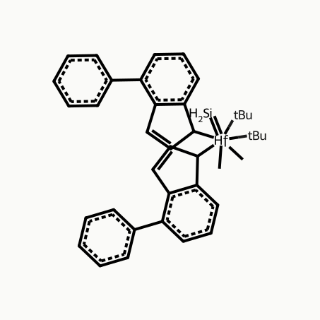 C[C](C)(C)[Hf]([CH3])([CH3])(=[SiH2])([CH]1C=Cc2c(-c3ccccc3)cccc21)([CH]1C=Cc2c(-c3ccccc3)cccc21)[C](C)(C)C